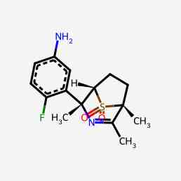 CC1=N[C@](C)(c2cc(N)ccc2F)[C@@H]2CC[C@@]1(C)S2(=O)=O